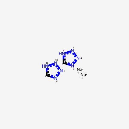 [Na].[Na].c1nnn[nH]1.c1nnn[nH]1